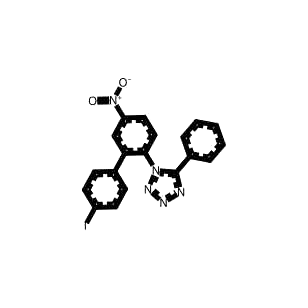 O=[N+]([O-])c1ccc(-n2nnnc2-c2ccccc2)c(-c2ccc(I)cc2)c1